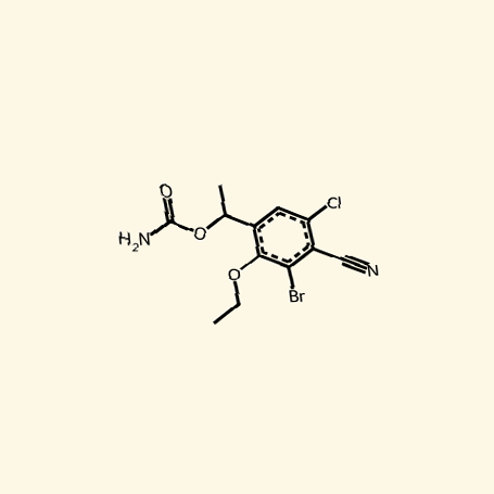 CCOc1c(C(C)OC(N)=O)cc(Cl)c(C#N)c1Br